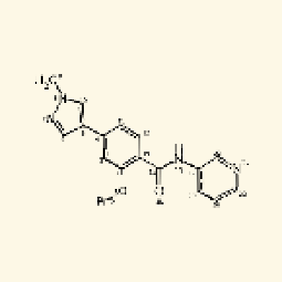 CC(C)Oc1cc(-c2cnn(C)c2)ccc1C(=O)Nc1cccnc1